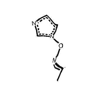 C[C]=NOn1ccnc1